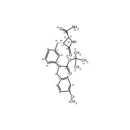 COc1ccc(CN(C(=O)OC(C)(C)C)c2cc(C[C@H]3C(=O)N[C@@H]3C(N)=O)ccn2)cc1